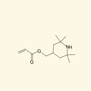 C=CC(=O)OCC1CC(C)(C)NC(C)(C)C1